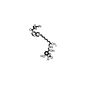 CC(CCCCCCCN1CCC2(CC1)CN(C(=O)c1csc(C(C)C)n1)CCO2)CNC[C@H](O)c1ccc(O)c2[nH]c(=O)sc12